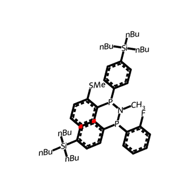 CCCC[Si](CCCC)(CCCC)c1ccc(P(c2ccccc2F)N(C)P(c2ccc([Si](CCCC)(CCCC)CCCC)cc2)c2ccccc2SC)cc1